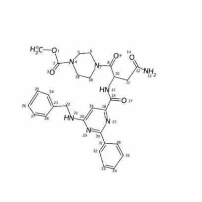 COC(=O)N1CCN(C(=O)C(CC(N)=O)NC(=O)c2cc(NCc3ccccc3)nc(-c3ccccc3)n2)CC1